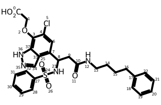 O=C(O)COc1c(Cl)cc(C(CC(=O)NCCCCc2ccccc2)NS(=O)(=O)c2ccccc2)c2cn[nH]c12